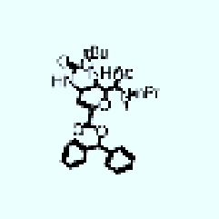 CCCN(C)C(=O)C1OC(C(=O)OC(c2ccccc2)c2ccccc2)=CC(NC(=O)OC(C)(C)C)C1NC(C)=O